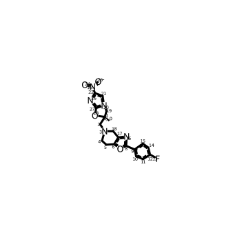 C[C@]1(CN2CCc3oc(-c4ccc(F)cc4)nc3C2)Cn2cc([N+](=O)[O-])nc2O1